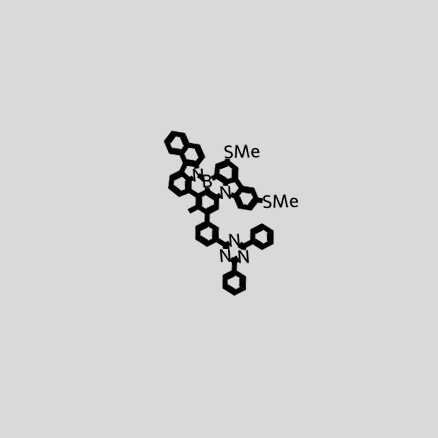 CSc1ccc2c(c1)c1cc(SC)cc3c1n2-c1cc(-c2cccc(-c4nc(-c5ccccc5)nc(-c5ccccc5)n4)c2)c(C)c2c1B3n1c3ccc4ccccc4c3c3cccc-2c31